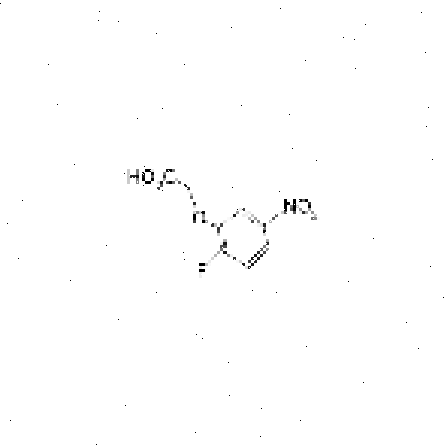 O=C(O)COc1cc([N+](=O)[O-])ccc1F